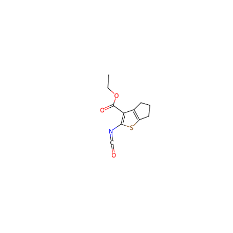 CCOC(=O)c1c(N=C=O)sc2c1CCC2